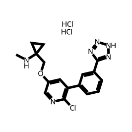 CNC1(COc2cnc(Cl)c(-c3cccc(-c4nn[nH]n4)c3)c2)CC1.Cl.Cl